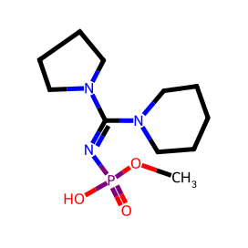 COP(=O)(O)/N=C(\N1CCCCC1)N1CCCC1